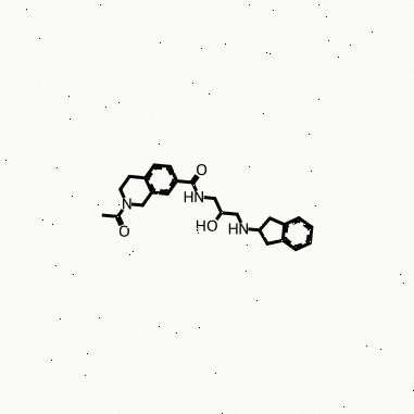 CC(=O)N1CCc2ccc(C(=O)NCC(O)CNC3Cc4ccccc4C3)cc2C1